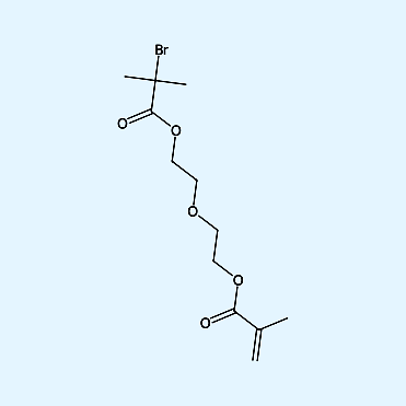 C=C(C)C(=O)OCCOCCOC(=O)C(C)(C)Br